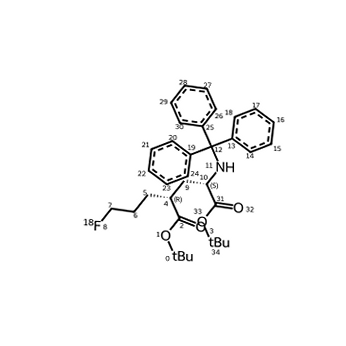 CC(C)(C)OC(=O)[C@H](CCC[18F])C[C@H](NC(c1ccccc1)(c1ccccc1)c1ccccc1)C(=O)OC(C)(C)C